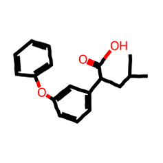 CC(C)CC(C(=O)O)c1cccc(Oc2ccccc2)c1